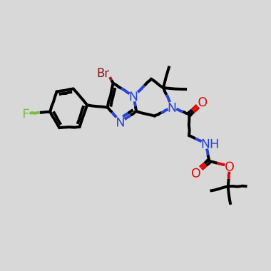 CC(C)(C)OC(=O)NCC(=O)N1Cc2nc(-c3ccc(F)cc3)c(Br)n2CC1(C)C